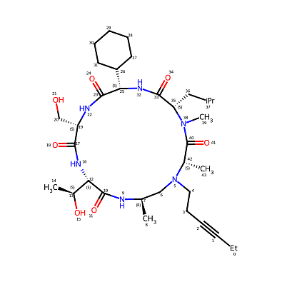 CCC#CCCN1C[C@@H](C)NC(=O)[C@H]([C@H](C)O)NC(=O)[C@H](CO)NC(=O)[C@H](C2CCCCC2)NC(=O)[C@H](CC(C)C)N(C)C(=O)[C@@H]1C